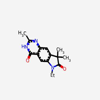 CCN1C(=O)C(C)(C)c2cc3nc(C)[nH]c(=O)c3cc21